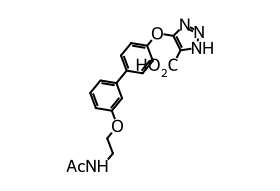 CC(=O)NCCOc1cccc(-c2ccc(Oc3nn[nH]c3C(=O)O)cc2)c1